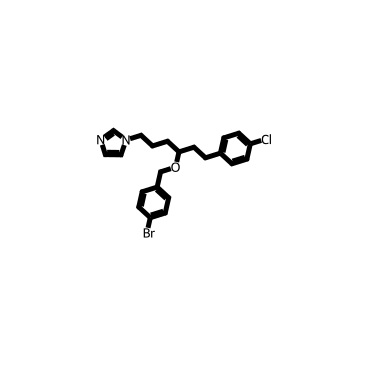 Clc1ccc(CCC(CCCn2ccnc2)OCc2ccc(Br)cc2)cc1